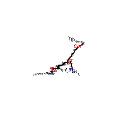 CCCCC/C=C\COC(=O)CCCCCCC(CCCCCCC(=O)OC/C=C\CCCCC)OC(=O)CCCN(C)C